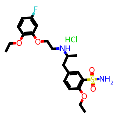 CCOc1ccc(F)cc1OCCNC(C)Cc1ccc(OCC)c(S(N)(=O)=O)c1.Cl